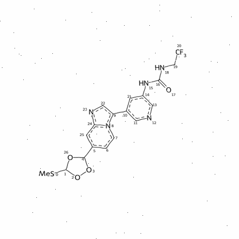 CSC1OOC(c2ccn3c(-c4cncc(NC(=O)NCC(F)(F)F)c4)cnc3c2)O1